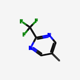 Cc1cnc(C(F)(F)F)nc1